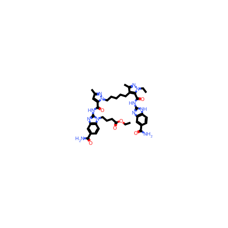 CCOC(=O)CCCn1c(NC(=O)c2cc(C)nn2CCCCCc2c(C)nn(CC)c2C(=O)Nc2nc3cc(C(N)=O)ccc3[nH]2)nc2cc(C(N)=O)ccc21